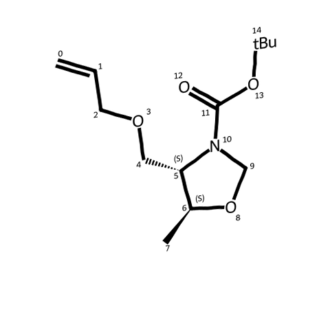 C=CCOC[C@H]1[C@H](C)OCN1C(=O)OC(C)(C)C